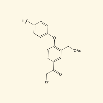 CC(=O)OCc1cc(C(=O)CBr)ccc1Oc1ccc(C)cc1